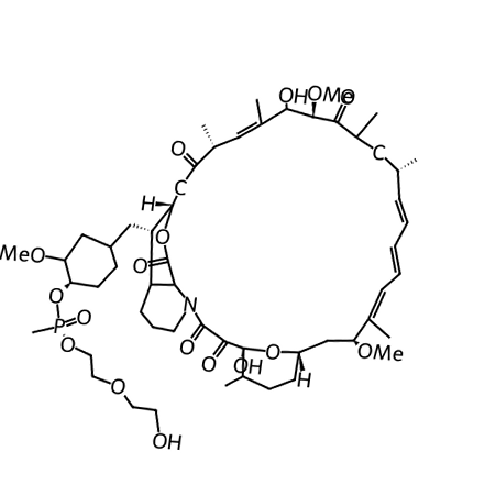 COC1CC(C[C@H]2C3CCCN4C(=O)C(=O)C5(O)O[C@@H](CCC5C)C[C@H](OC)/C(C)=C/C=C/C=C/[C@@H](C)CC(C)C(=O)[C@H](OC)C(O)/C(C)=C/[C@@H](C)C(=O)C[C@@H]2OC(=O)C34)CC[C@H]1OP(C)(=O)OCCOCCO